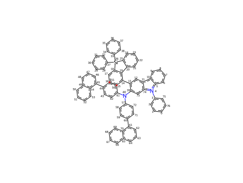 c1ccc(-n2c3ccccc3c3cc(-c4cccc5c4-c4ccccc4[Si]5(c4ccccc4)c4ccccc4)c(N(c4ccc(-c5cccc6ccccc56)cc4)c4ccc(-c5cccc6ccccc56)cc4)cc32)cc1